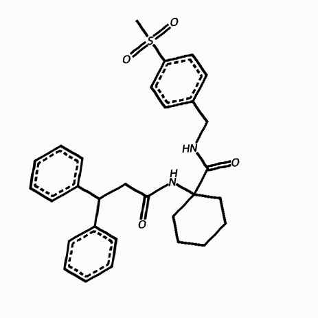 CS(=O)(=O)c1ccc(CNC(=O)C2(NC(=O)CC(c3ccccc3)c3ccccc3)CCCCC2)cc1